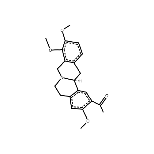 COc1cc2c(cc1C(C)=O)[C@@H]1Cc3ccc(OC)c(OC)c3CN1CC2